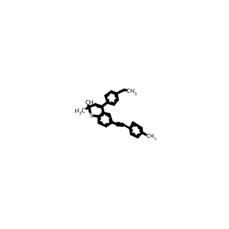 CCc1ccc(C2=CC(C)(C)Sc3ccc(C#Cc4ccc(C)cc4)cc32)cc1